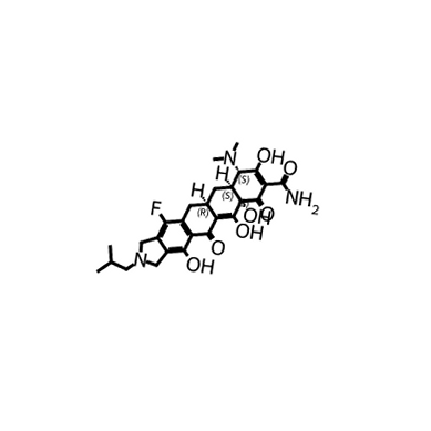 CC(C)CN1Cc2c(O)c3c(c(F)c2C1)C[C@H]1C[C@H]2[C@H](N(C)C)C(O)=C(C(N)=O)C(=O)[C@@]2(O)C(O)=C1C3=O